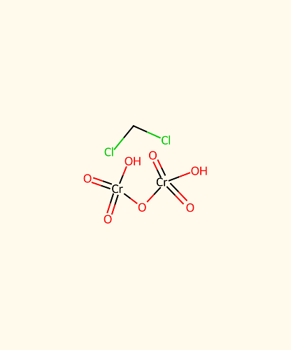 ClCCl.[O]=[Cr](=[O])([OH])[O][Cr](=[O])(=[O])[OH]